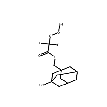 O=C(OCC12CC3CC(CC(O)(C3)C1)C2)C(F)(F)OOS